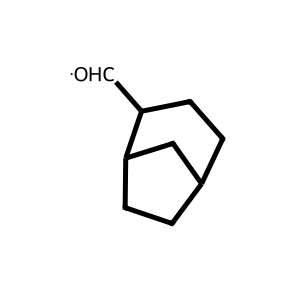 O=[C]C1CCC2CCC1C2